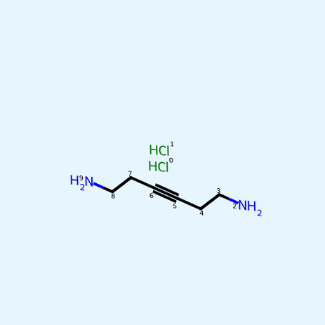 Cl.Cl.NCCC#CCCN